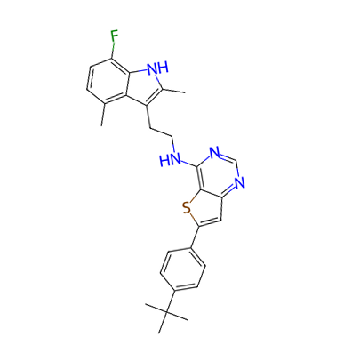 Cc1[nH]c2c(F)ccc(C)c2c1CCNc1ncnc2cc(-c3ccc(C(C)(C)C)cc3)sc12